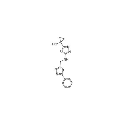 OC1(c2nnc(NCc3cn(-c4ccccc4)nn3)o2)CC1